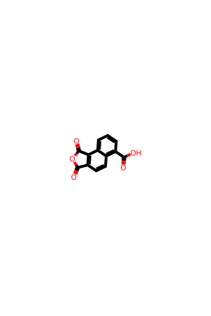 O=C1OC(=O)c2c1ccc1c(C(=O)O)cccc21